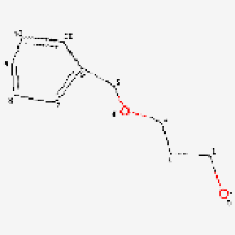 [O]CCCOCc1ccccc1